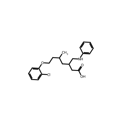 CC(CCOc1ccccc1Cl)CC(CNc1ccccc1)CC(=O)O